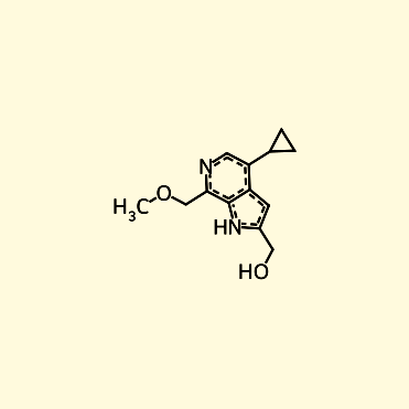 COCc1ncc(C2CC2)c2cc(CO)[nH]c12